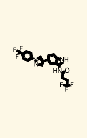 O=C(CCC(F)(F)F)Nc1c[nH]c2ccc(-c3cnn(-c4ccc(C(F)(F)F)cc4)c3)cc12